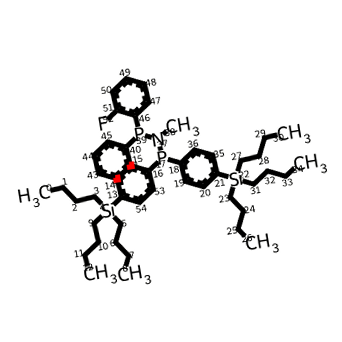 CCCC[Si](CCCC)(CCCC)c1ccc(P(c2ccc([Si](CCCC)(CCCC)CCCC)cc2)N(C)P(c2ccccc2)c2ccccc2F)cc1